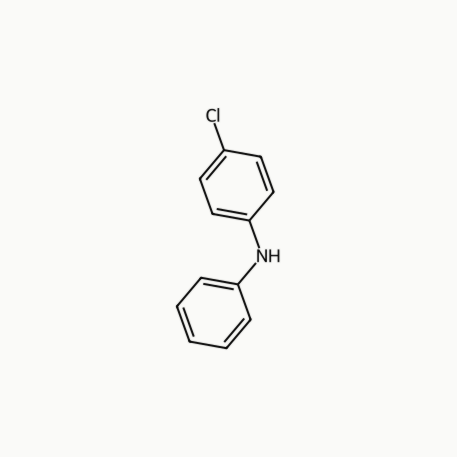 Clc1ccc(Nc2ccccc2)cc1